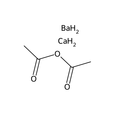 CC(=O)OC(C)=O.[BaH2].[CaH2]